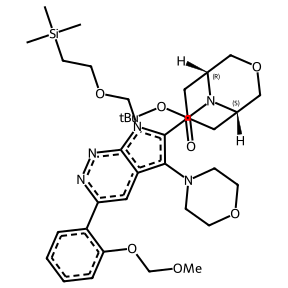 COCOc1ccccc1-c1cc2c(N3CCOCC3)c(C3C[C@H]4COC[C@@H](C3)N4C(=O)OC(C)(C)C)n(COCC[Si](C)(C)C)c2nn1